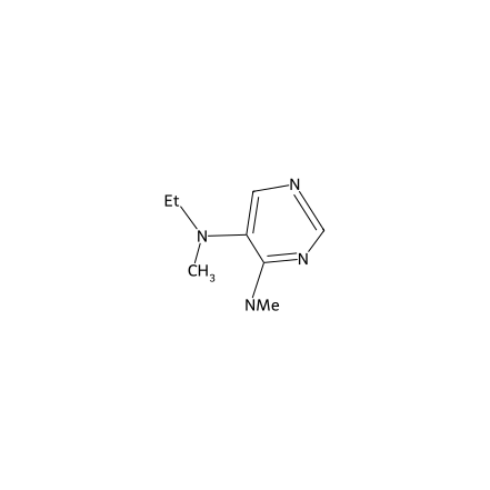 CCN(C)c1cncnc1NC